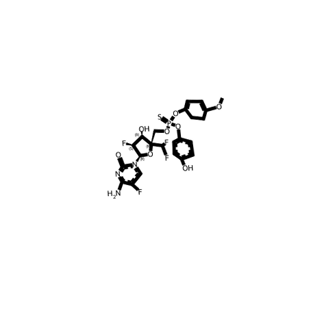 COC1=CC=C(OP(=S)(OC[C@@]2(C(F)F)O[C@@H](n3cc(F)c(N)nc3=O)[C@@H](F)[C@@H]2O)Oc2ccc(O)cc2)CC1